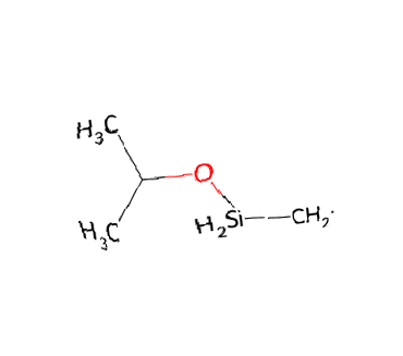 [CH2][SiH2]OC(C)C